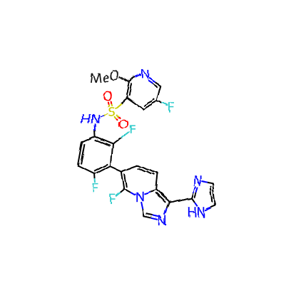 COc1ncc(F)cc1S(=O)(=O)Nc1ccc(F)c(-c2ccc3c(-c4ncc[nH]4)ncn3c2F)c1F